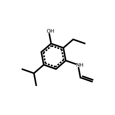 C=CNc1cc(C(C)C)cc(O)c1CC